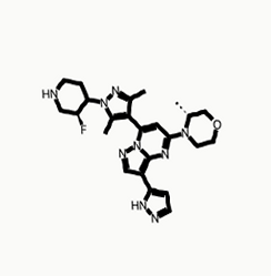 Cc1nn(C2CCNC[C@@H]2F)c(C)c1-c1cc(N2CCOC[C@H]2C)nc2c(-c3ccn[nH]3)cnn12